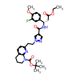 CCOC(=O)C[C@H](NC(=O)c1cnn(CCc2ccc3c(n2)N(C(=O)OC(C)(C)C)CCC3)c1)c1ccc(OC)c(F)c1